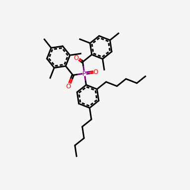 CCCCCc1ccc(P(=O)(C(=O)c2c(C)cc(C)cc2C)C(=O)c2c(C)cc(C)cc2C)c(CCCCC)c1